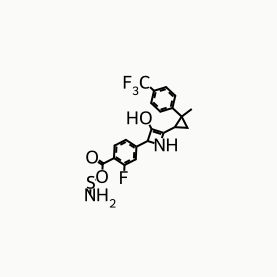 CC1(c2ccc(C(F)(F)F)cc2)CC1C1=C(O)C(c2ccc(C(=O)OSN)c(F)c2)N1